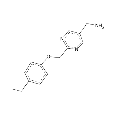 CCc1ccc(OCc2ncc(CN)cn2)cc1